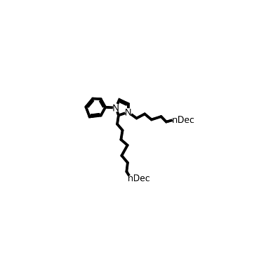 CCCCCCCCCCCCCCCCCC1N(CCCCCCCCCCCCCCC)C=CN1c1ccccc1